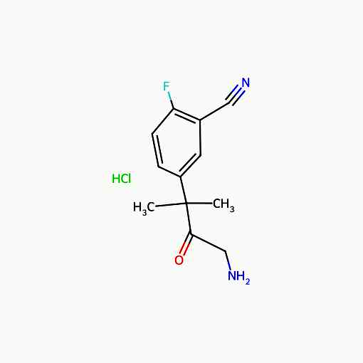 CC(C)(C(=O)CN)c1ccc(F)c(C#N)c1.Cl